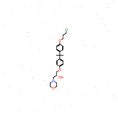 CC(C)(c1ccc(OCCCCl)cc1)c1ccc(OC[C@H](O)CN2CCOCC2)cc1